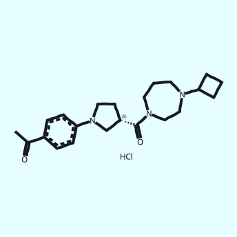 CC(=O)c1ccc(N2CC[C@H](C(=O)N3CCCN(C4CCC4)CC3)C2)cc1.Cl